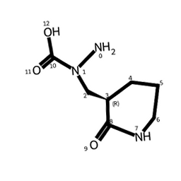 NN(C[C@H]1CCCNC1=O)C(=O)O